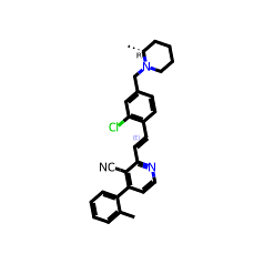 Cc1ccccc1-c1ccnc(/C=C/c2ccc(CN3CCCC[C@H]3C)cc2Cl)c1C#N